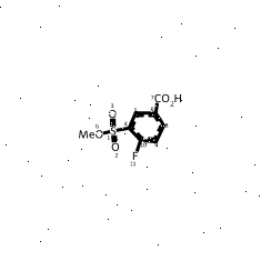 COS(=O)(=O)c1cc(C(=O)O)ccc1F